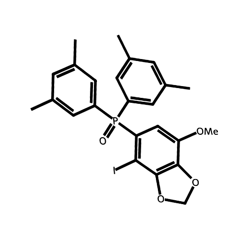 COc1cc(P(=O)(c2cc(C)cc(C)c2)c2cc(C)cc(C)c2)c(I)c2c1OCO2